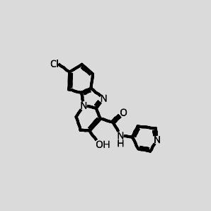 O=C(Nc1ccncc1)C1=C(O)CCn2c1nc1ccc(Cl)cc12